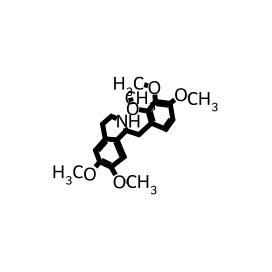 COc1cc2c(cc1OC)C(Cc1ccc(OC)c(OC)c1OC)NCC2